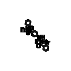 CCN(c1ccccc1)S(=O)(=O)c1ccc(NC(=S)NC(=O)c2ccccc2Br)cc1